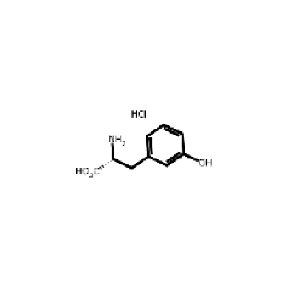 Cl.N[C@H](Cc1cccc(O)c1)C(=O)O